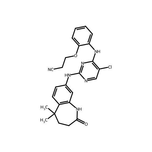 CC1(C)CCC(=O)Nc2cc(Nc3ncc(Cl)c(Nc4ccccc4OCCC#N)n3)ccc21